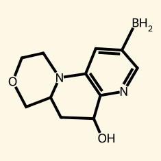 Bc1cnc2c(c1)N1CCOCC1CC2O